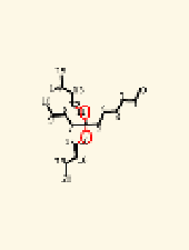 CCCCCCC(CCCC)(OCCCC)OCCCC